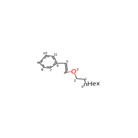 CCCCCCCCOC=Cc1ccccc1